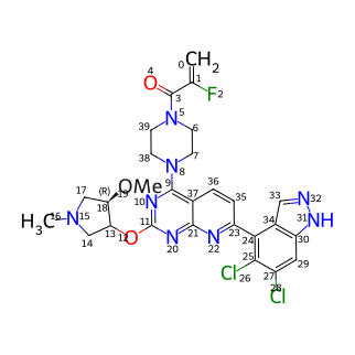 C=C(F)C(=O)N1CCN(c2nc(OC3CN(C)C[C@H]3OC)nc3nc(-c4c(Cl)c(Cl)cc5[nH]ncc45)ccc23)CC1